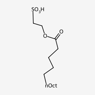 CCCCCCCCCCCCC(=O)OCCS(=O)(=O)O